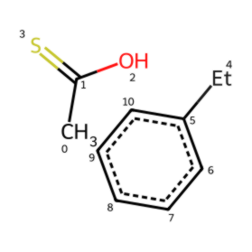 CC(O)=S.CCc1ccccc1